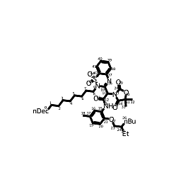 CCCCCCCCCCCCCCCCCCN1C(C(C(=O)Nc2cc(C)ccc2OCC(CC)CCCC)N2C(=O)OC(C)(C)C2=O)=Nc2ccccc2S1(=O)=O